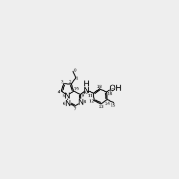 CCc1ccn2ncnc(Nc3ccc(C)c(O)c3)c12